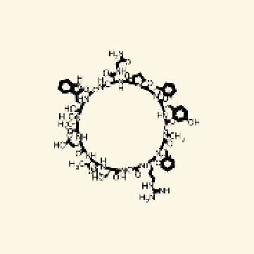 CC(C)[C@@H]1NC(=O)[C@H](CC(=O)O)NC(=O)[C@H](C)N(C)C(O)[C@@H](Cc2c[nH]c3ccccc23)NC(=O)CNC[C@@H](C(=O)NCC(N)=O)NC(=O)[C@@H]2CCCN2C(=O)[C@H](Cc2ccccc2)N(C)C(=O)[C@H](Cc2ccc(O)cc2)NC(=O)CN(C)C(=O)[C@H](Cc2ccccc2)N(C)C(=O)[C@H](CCCNC(=N)N)NC(=O)CNC(=O)[C@H](CO)NC1=O